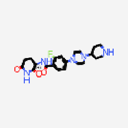 O=C1CC[C@@H](NC(=O)c2ccc(N3CCN(C4CCNCC4)CC3)cc2F)C(=O)N1